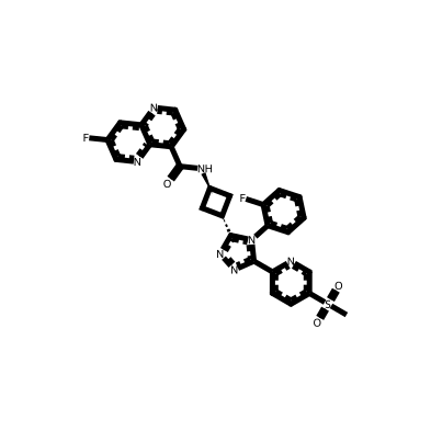 CS(=O)(=O)c1ccc(-c2nnc([C@H]3C[C@H](NC(=O)c4ccnc5cc(F)cnc45)C3)n2-c2ccccc2F)nc1